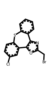 Clc1ccc2c(c1)-c1oc(CBr)nc1-c1ccccc1S2